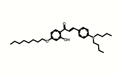 CCCCCCCCOc1ccc(C(=O)/C=C/c2ccc(N(CCCC)CCCC)cc2)c(O)c1